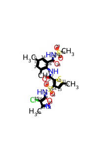 Cc1cc(C)c(NC(=O)c2sc(C)cc2S(=O)(=O)Nc2onc(C)c2Cl)c(C(=O)NS(C)(=O)=O)c1